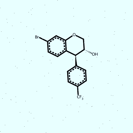 O[C@H]1COc2cc(Br)ccc2[C@@H]1c1ccc(C(F)(F)F)cc1